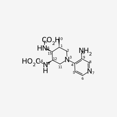 C[C@H]1CN(c2ccncc2N)C[C@@H](NC(=O)O)[C@H]1NC(=O)O